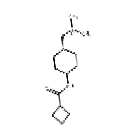 C[SH](C)C[C@H]1CC[C@@H](NC(=O)C2CCC2)CC1